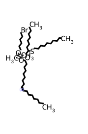 CCCCCCCC/C=C\CCCCCCCC(OCC(CCCCCCCC)SCCCCCCCCCC)O[Si](C)(C)OCCCCCCBr